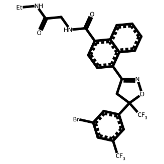 CCNC(=O)CNC(=O)c1ccc(C2=NOC(c3cc(Br)cc(C(F)(F)F)c3)(C(F)(F)F)C2)c2ccccc12